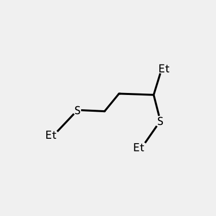 [CH2]CC(CCSCC)SCC